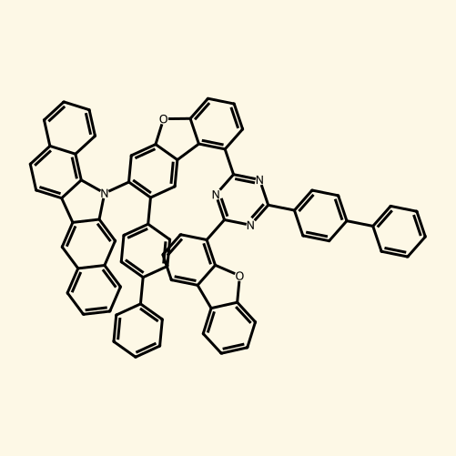 c1ccc(-c2ccc(-c3nc(-c4cccc5c4oc4ccccc45)nc(-c4cccc5oc6cc(-n7c8cc9ccccc9cc8c8ccc9ccccc9c87)c(-c7ccc(-c8ccccc8)cc7)cc6c45)n3)cc2)cc1